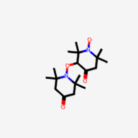 CC1(C)CC(=O)CC(C)(C)N1OC1C(=O)CC(C)(C)N([O])C1(C)C